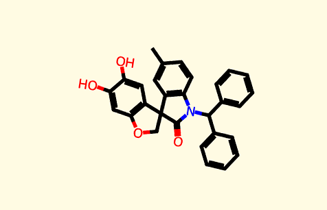 Cc1ccc2c(c1)C1(COc3cc(O)c(O)cc31)C(=O)N2C(c1ccccc1)c1ccccc1